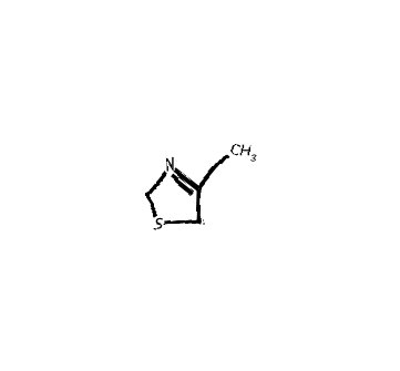 CC1=NCS[C]1